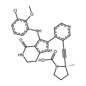 COc1c(Cl)cccc1Nc1c(-c2ccncc2C#C[C@@]2(C)CCCN2C(=O)O)[nH]c2c1C(=O)NCC2